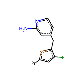 CC(C)c1cc(F)c(Cc2ccnc(N)c2)s1